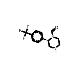 O=CN1CCNC[C@H]1c1ccc(C(F)(F)F)cc1